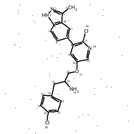 Cc1n[nH]c2ccc(-c3cc(OCC(N)Cc4ccc(Cl)cc4)cnc3Cl)cc12